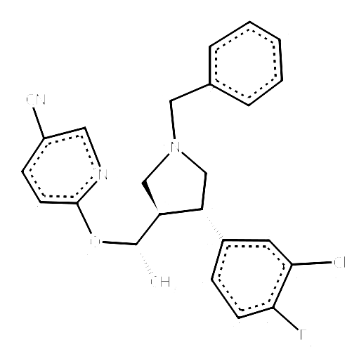 C[C@H](Oc1ccc(C#N)cn1)[C@H]1CN(Cc2ccccc2)C[C@@H]1c1ccc(F)c(Cl)c1